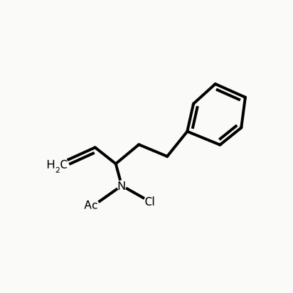 C=CC(CCc1ccccc1)N(Cl)C(C)=O